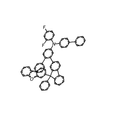 Fc1ccc(N(c2ccc(-c3ccccc3)cc2)c2ccc(-c3ccccc3)c(-c3ccc4c(c3)C(c3ccccc3)(c3ccc5c(c3)oc3ccccc35)c3ccccc3-4)c2)c(F)c1